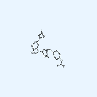 Cn1cc(-c2cnc3[nH]cc(-c4cn(Cc5ccc(OC(F)F)cc5)nn4)c3c2)cn1